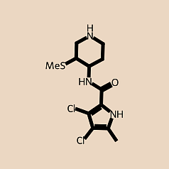 CSC1CNCCC1NC(=O)c1[nH]c(C)c(Cl)c1Cl